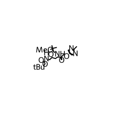 COC(C)(C)C(=O)NC(CCCNC(=O)OC(C)(C)C)C(=O)COc1cnc(C)nc1